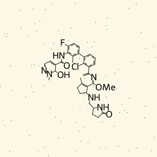 C=C(/N=C(/OC)C1=C(C)CCC1NCC1CCC(=O)N1)c1cccc(-c2ccc(F)c(NC(=O)C3=CC=NN(C)C3O)c2C)c1Cl